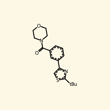 CC(C)(C)c1nc(-c2cccc(C(=O)N3CCOCC3)c2)cs1